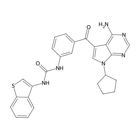 Nc1ncnc2c1c(C(=O)c1cccc(NC(=O)Nc3csc4ccccc34)c1)cn2C1CCCC1